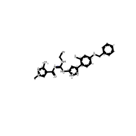 CC(C)CN/C(=N/C(=O)c1cn(C)nc1C(F)(F)F)Nc1cc(-c2ccc(OCc3ccccc3)cc2F)n[nH]1